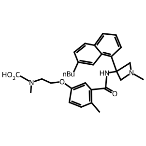 CCCCc1ccc2cccc(C3(NC(=O)c4cc(OCCN(C)C(=O)O)ccc4C)CN(C)C3)c2c1